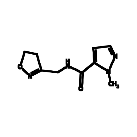 Cn1nccc1C(=O)NCC1=NOCC1